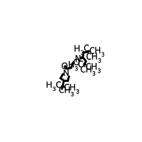 CC(C)(C)CC(CC(C)(C)C)=NOCCC(=O)N1CCC(C(C)(C)C)CC1